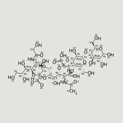 CC(=O)N[C@H]1[C@H]([C@H](O)[C@@H](CO)O[C@]2(C(=O)O)C[C@H](O)[C@@H](NC(=O)CO)[C@H]([C@H](O)[C@H](O)CO)O2)O[C@@](O[C@H]2[C@@H](O)[C@@H](CO)O[C@@H](O[C@H]3[C@H](O)[C@@H](O)C(O)O[C@@H]3CO)[C@@H]2O)(C(=O)O)C[C@@H]1O